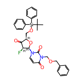 CC(C)(C)[Si](OC[C@H]1O[C@@H](n2ccc(=O)n(COCc3ccccc3)c2=O)[C@@H](F)C1=O)(c1ccccc1)c1ccccc1